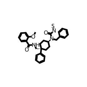 COc1ccccc1C(=O)NC[C@]1(c2ccccc2)CC[C@@H](N(Cc2ccccc2)C(=O)N=S)CC1